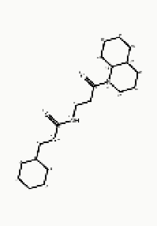 O=C(CCNC(=S)NCC1CCCCC1)N1CCCC2CCCCC21